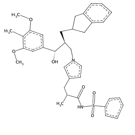 COc1cc([C@@H](O)[C@@H](CC2Cc3ccccc3C2)Cn2ccc(CC(C)C(=O)NS(=O)(=O)c3ccccc3)c2)cc(OC)c1C